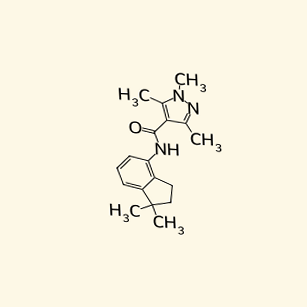 Cc1nn(C)c(C)c1C(=O)Nc1cccc2c1CCC2(C)C